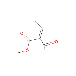 C/C=C(/C(C)=O)C(=O)OC